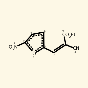 CCOC(=O)/C(C#N)=C\c1ccc([N+](=O)[O-])o1